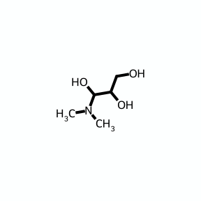 CN(C)C(O)C(O)CO